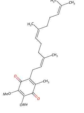 COC1=C(OC)C(=O)C(CC=C(C)CCC=C(C)CCC=C(C)C)=C(C)C1=O